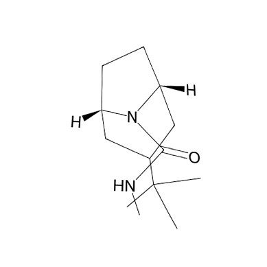 CNC(=O)N1[C@@H]2CC[C@H]1CC(C(C)(C)C)C2